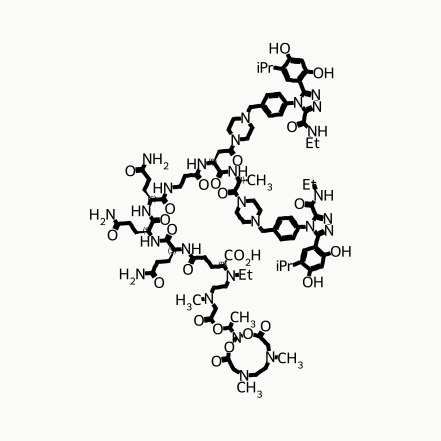 CCNC(=O)c1nnc(-c2cc(C(C)C)c(O)cc2O)n1-c1ccc(CN2CCN(C(=O)C[C@H](NC(=O)CCNC(=O)[C@H](CCC(N)=O)NC(=O)[C@H](CCC(N)=O)NC(=O)[C@H](CCC(N)=O)NC(=O)CC[C@H](C(=O)O)N(CC)CCN(C)CC(=O)OC(C)N3OC(=O)CN(C)CCN(C)CC(=O)O3)C(=O)N[C@H](C)C(=O)N3CCN(Cc4ccc(-n5c(C(=O)NCC)nnc5-c5cc(C(C)C)c(O)cc5O)cc4)CC3)CC2)cc1